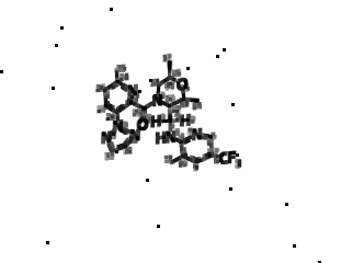 [2H]C([2H])(Nc1ncc(C(F)(F)F)cc1C)[C@@H]1[C@H](C)O[C@H](C)CN1C(=O)c1nc(C)ccc1-n1nccn1